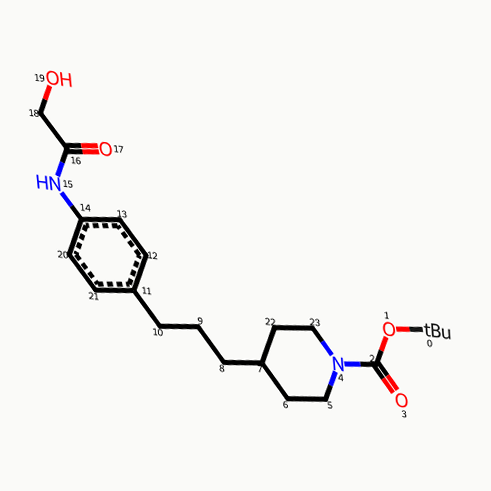 CC(C)(C)OC(=O)N1CCC(CCCc2ccc(NC(=O)CO)cc2)CC1